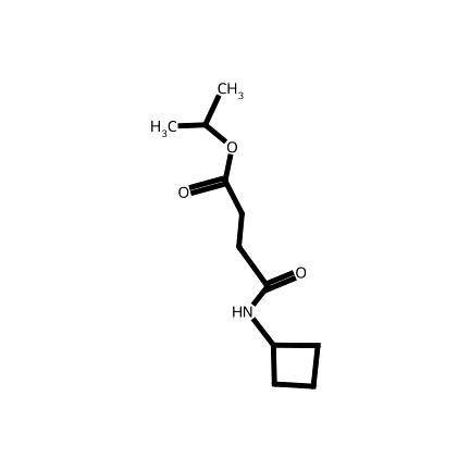 CC(C)OC(=O)CCC(=O)NC1CCC1